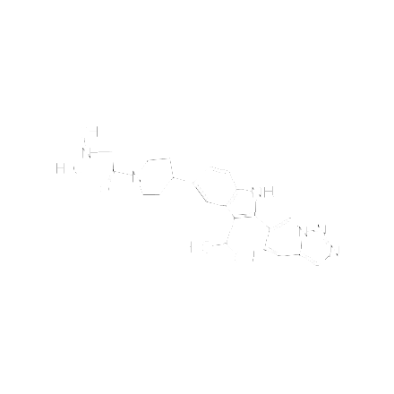 CC(C)c1c(-c2ccc3cnnn3c2)[nH]c2ccc(C3CCN(C(=O)CN(C)C)CC3)cc12